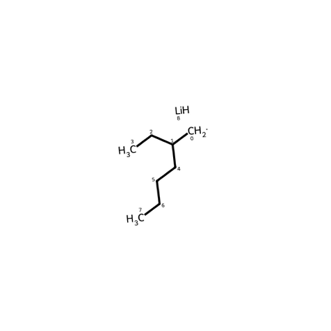 [CH2]C(CC)CCCC.[LiH]